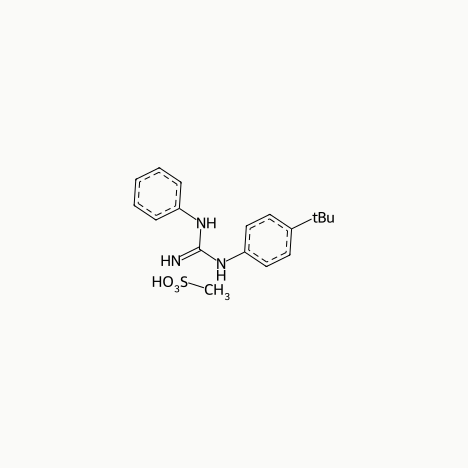 CC(C)(C)c1ccc(NC(=N)Nc2ccccc2)cc1.CS(=O)(=O)O